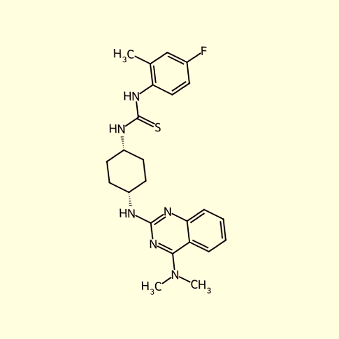 Cc1cc(F)ccc1NC(=S)N[C@H]1CC[C@@H](Nc2nc(N(C)C)c3ccccc3n2)CC1